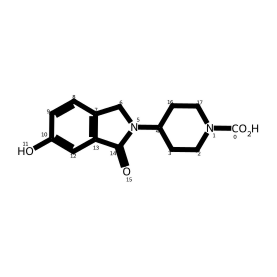 O=C(O)N1CCC(N2Cc3ccc(O)cc3C2=O)CC1